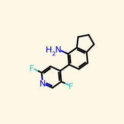 Nc1c(-c2cc(F)ncc2F)ccc2c1CCC2